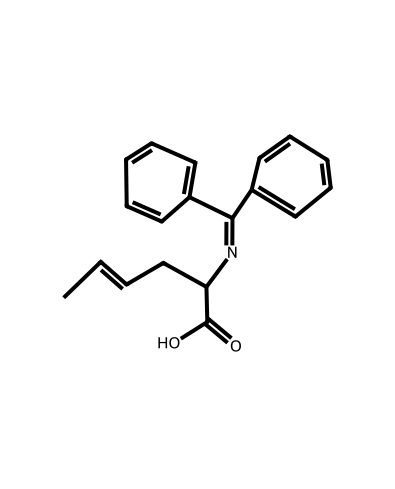 CC=CCC(N=C(c1ccccc1)c1ccccc1)C(=O)O